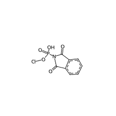 O=C1c2ccccc2C(=O)N1P(=O)(O)OCl